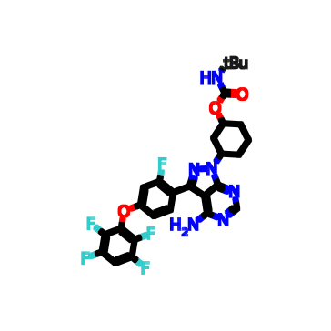 CC(C)(C)NC(=O)OC1CCCC(n2nc(-c3ccc(Oc4c(F)c(F)cc(F)c4F)cc3F)c3c(N)ncnc32)C1